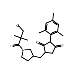 Cc1cc(C)c(C2C(=O)CC(CC3CCN(C(=O)C(C)(C)CCl)C3)C2=O)c(C)c1